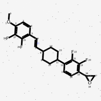 COc1ccc(/C=C/C2CCC(c3ccc(C4CO4)c(F)c3F)CC2)c(F)c1F